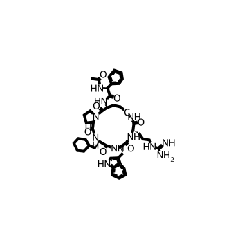 CC(=O)N[C@H](C(=O)N[C@H]1CCCNC(=O)[C@H](CCCNC(=N)N)NC(=O)[C@H](Cc2c[nH]c3ccccc23)NC(=O)[C@@H](CC2CCCCC2)NC(=O)[C@@H]2CCCN2C1=O)c1ccccc1